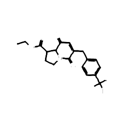 CCOC(=O)C1CCN2C(=O)C(Cc3ccc(C(F)(F)F)cc3)=CC(=O)C12